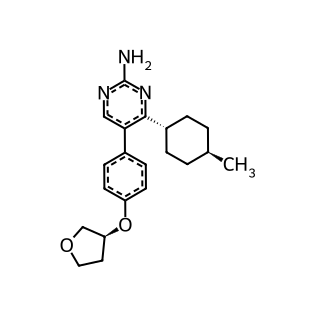 C[C@H]1CC[C@H](c2nc(N)ncc2-c2ccc(O[C@H]3CCOC3)cc2)CC1